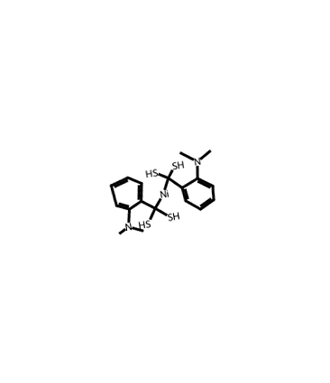 CN(C)c1ccccc1[C](S)(S)[Ni][C](S)(S)c1ccccc1N(C)C